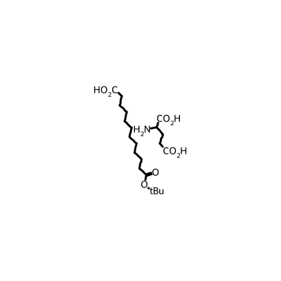 CC(C)(C)OC(=O)CCCCCCCCCCC(=O)O.NC(CCC(=O)O)C(=O)O